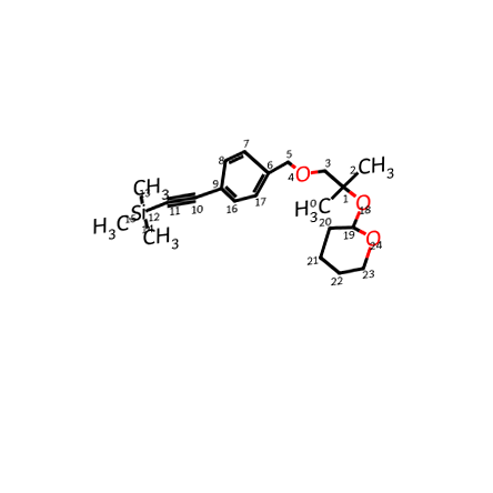 CC(C)(COCc1ccc(C#C[Si](C)(C)C)cc1)OC1CCCCO1